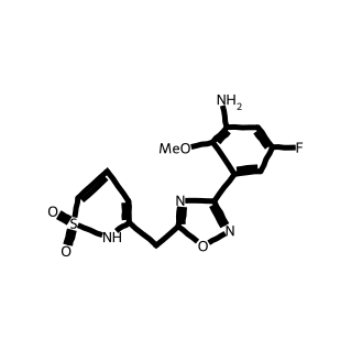 COc1c(N)cc(F)cc1-c1noc(CC2=CC=CS(=O)(=O)N2)n1